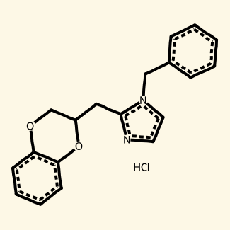 Cl.c1ccc(Cn2ccnc2CC2COc3ccccc3O2)cc1